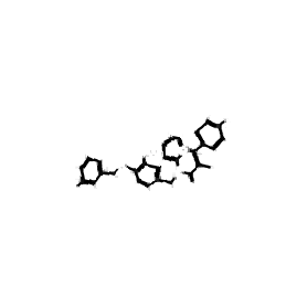 COc1cc(Cn2c(=O)c(C)c(-c3ccc([O-])cc3)[n+]3ccccc23)ccc1OCc1cccc(Cl)c1